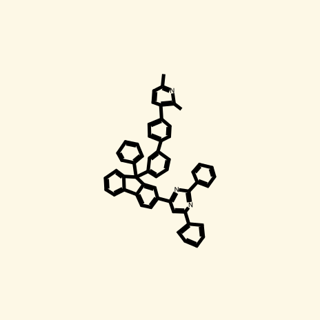 Cc1ccc(-c2ccc(-c3cccc(C4(c5ccccc5)c5ccccc5-c5ccc(-c6cc(-c7ccccc7)nc(-c7ccccc7)n6)cc54)c3)cc2)c(C)n1